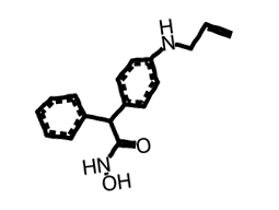 C=CCNc1ccc(C(C(=O)NO)c2ccccc2)cc1